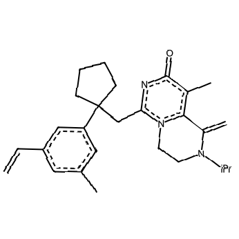 C=Cc1cc(C)cc(C2(Cc3nc(=O)c(C)c4n3CCN(C(C)C)C4=C)CCCC2)c1